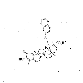 CC1=C(O)C(=O)C=C2C1=CC=C1[C@@]2(C)CC[C@@]2(C)[C@@H]3C(CCOc4cnc5ccccc5c4)[C@](C)(C(=O)O)CC[C@]3(C)CC[C@]12C